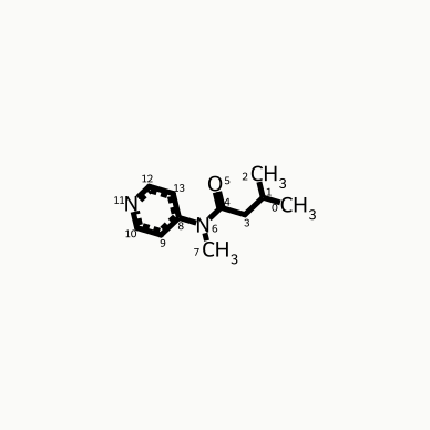 CC(C)CC(=O)N(C)c1ccncc1